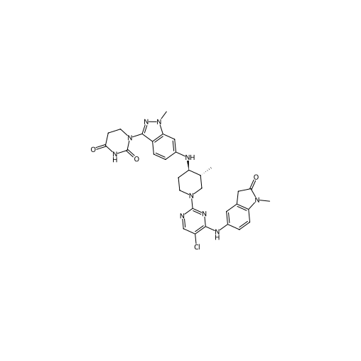 C[C@@H]1CN(c2ncc(Cl)c(Nc3ccc4c(c3)CC(=O)N4C)n2)CC[C@H]1Nc1ccc2c(N3CCC(=O)NC3=O)nn(C)c2c1